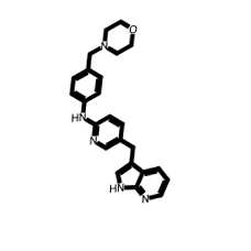 c1cnc2[nH]cc(Cc3ccc(Nc4ccc(CN5CCOCC5)cc4)nc3)c2c1